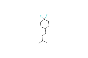 C[C](C)CCC1CCC(F)(F)CC1